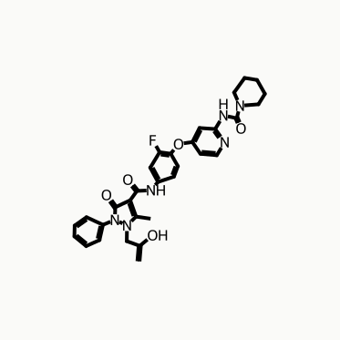 C=C(O)Cn1c(C)c(C(=O)Nc2ccc(Oc3ccnc(NC(=O)N4CCCCC4)c3)c(F)c2)c(=O)n1-c1ccccc1